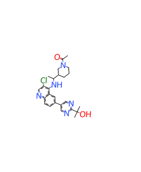 CC(=O)N1CCCC(C(C)Nc2c(Cl)cnc3ccc(-c4cnc(C(C)(C)O)nc4)cc23)C1